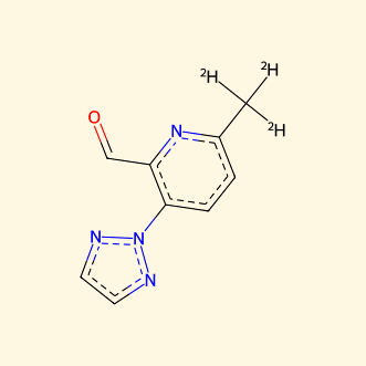 [2H]C([2H])([2H])c1ccc(-n2nccn2)c(C=O)n1